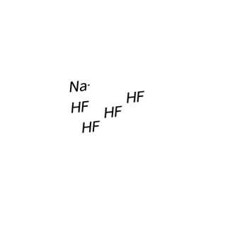 F.F.F.F.[Na]